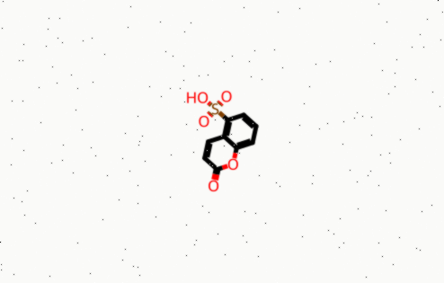 O=c1ccc2c(S(=O)(=O)O)cccc2o1